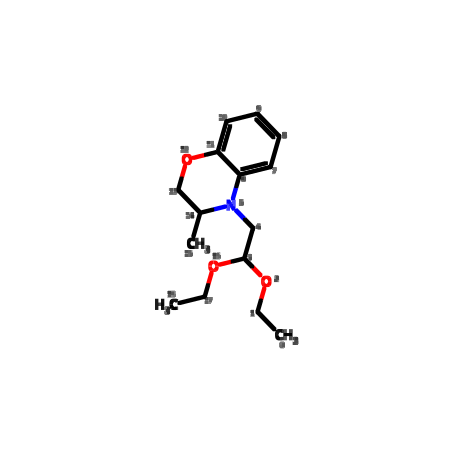 CCOC(CN1c2ccccc2OCC1C)OCC